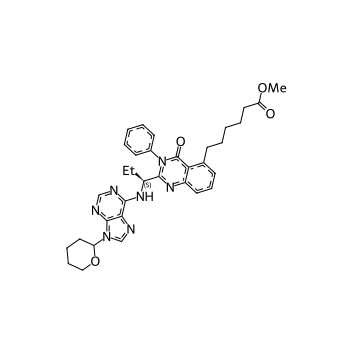 CC[C@H](Nc1ncnc2c1ncn2C1CCCCO1)c1nc2cccc(CCCCCC(=O)OC)c2c(=O)n1-c1ccccc1